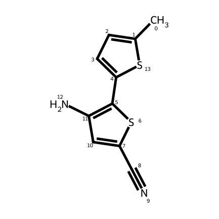 Cc1ccc(-c2sc(C#N)cc2N)s1